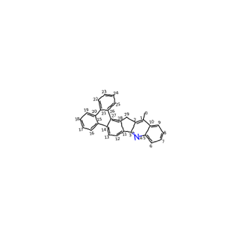 Cc1c2c(nc3ccccc13)-c1ccc3c4ccccc4c4ccccc4c3c1C2